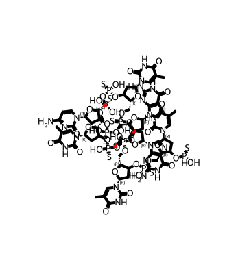 Cc1cn([C@H]2CC(O[PH](O)=S)[C@@H](COP(O)(=S)OC3C[C@H](n4cc(C)c(=O)[nH]c4=O)O[C@@H]3COP(O)(=S)OC3C[C@H](n4cnc5c(=O)[nH]c(N)nc54)O[C@@H]3COP(O)(=S)OC3C[C@H](n4ccc(N)nc4=O)O[C@@H]3COP(O)(=S)OC3C[C@H](n4cc(C)c(=O)[nH]c4=O)O[C@@H]3COP(O)(=S)OC3C[C@H](n4cnc5c(=O)[nH]c(N)nc54)O[C@@H]3COP(O)(=S)OC3C[C@H](n4cc(C)c(=O)[nH]c4=O)O[C@@H]3COP(O)(O)=S)O2)c(=O)[nH]c1=O